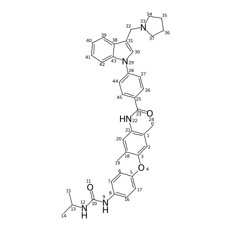 Cc1cc(Oc2ccc(NC(=O)NC(C)C)cc2)c(C)cc1NC(=O)c1ccc(-n2cc(CN3CCCC3)c3ccccc32)cc1